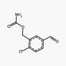 NC(=O)OCc1cc(C=O)ccc1Cl